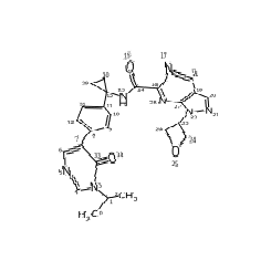 CC(C)n1cncc(-c2ccc(C3(NC(=O)c4ncc5cnn(C6COC6)c5n4)CC3)cc2)c1=O